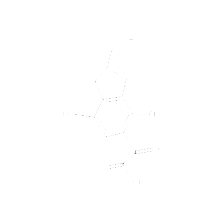 CCC1Cc2c(C)cc(C(=O)C(=O)O)c(C)c2C1